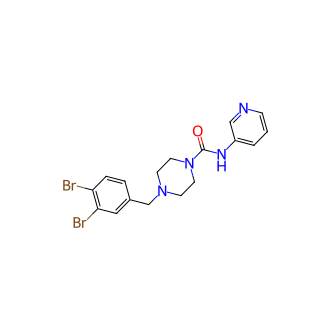 O=C(Nc1cccnc1)N1CCN(Cc2ccc(Br)c(Br)c2)CC1